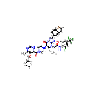 CCc1c(N2CCN(C(=O)c3ncnc(C)c3OCc3ccccc3)CC2)c(=O)n2nc(-c3ccc4sccc4c3)nc2n1CC(=O)Nc1ccc(C(F)(F)F)cc1Cl